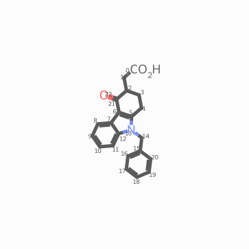 O=C(O)CC1CCc2c(c3ccccc3n2Cc2ccccc2)C1=O